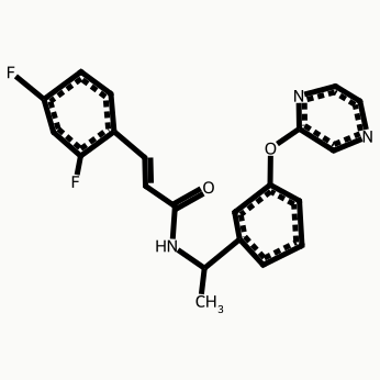 CC(NC(=O)C=Cc1ccc(F)cc1F)c1cccc(Oc2cnccn2)c1